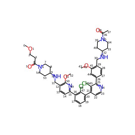 COCCC(=O)N1CCC(NCc2ccc(-c3cccc(-c4ccnc(-c5ccc(CNC6CCN(C(C)=O)CC6)c(OC)c5)c4Cl)c3Cl)nc2OC)CC1